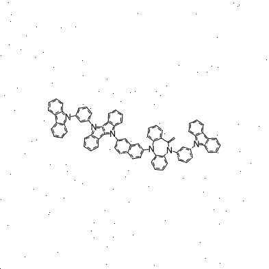 C=C1c2ccccc2N(c2ccc3ccc(-n4c5ccccc5c5c4c4ccccc4n5-c4cccc(-n5c6ccccc6c6ccccc65)c4)cc3c2)c2ccccc2N1c1cccc(-n2c3ccccc3c3ccccc32)c1